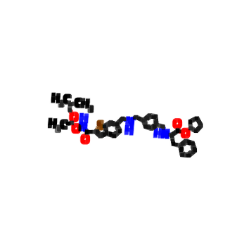 CC(C)CO[C@H](C)ONC(=O)c1cc2ccc(CNCc3ccc(CNC(Cc4ccccc4)C(=O)OC4CCCC4)cc3)cc2s1